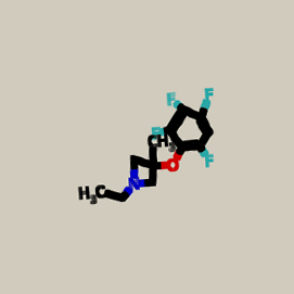 CCN1CC(C)(Oc2c(F)cc(F)c(F)c2F)C1